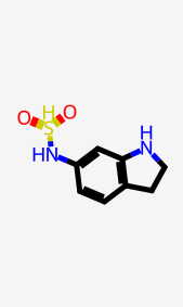 O=[SH](=O)Nc1ccc2c(c1)NCC2